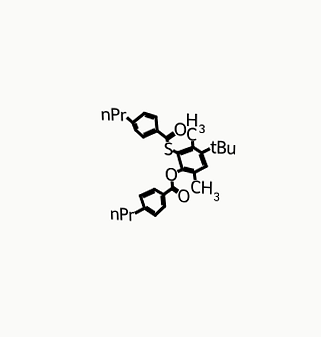 CCCc1ccc(C(=O)Oc2c(C)cc(C(C)(C)C)c(C)c2SC(=O)c2ccc(CCC)cc2)cc1